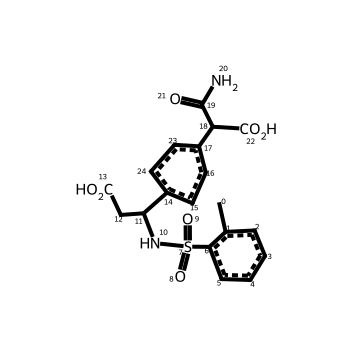 Cc1ccccc1S(=O)(=O)NC(CC(=O)O)c1ccc(C(C(N)=O)C(=O)O)cc1